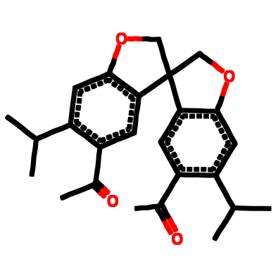 CC(=O)c1cc2c(cc1C(C)C)OCC21COc2cc(C(C)C)c(C(C)=O)cc21